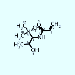 C=CC(=O)NC(C(C)O)[N+](C)(C)C